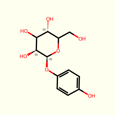 OCC1O[C@@H](Oc2ccc(O)cc2)[C@@H](O)C(O)[C@@H]1O